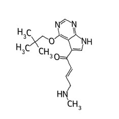 CNCC=CC(=O)c1c[nH]c2ncnc(OCC(C)(C)C)c12